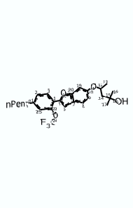 CCCCCc1ccc(-c2cc3ccc(OC(C)CC(C)(C)O)cc3o2)c(OC(F)(F)F)c1